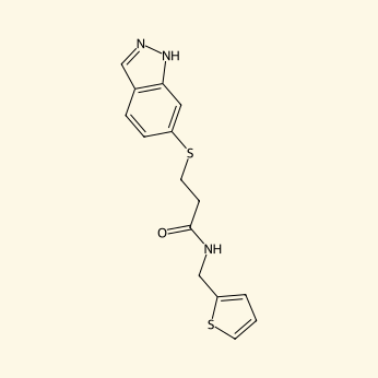 O=C(CCSc1ccc2cn[nH]c2c1)NCc1cccs1